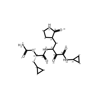 NC(=O)O[C@@H](CC1CC1)C(=O)NC(CC1CCNC1=O)C(=O)C(=O)NC1CC1